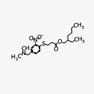 CCCCC(CC)COC(=O)CCSc1ccc(CN(C)C)cc1[N+](=O)[O-]